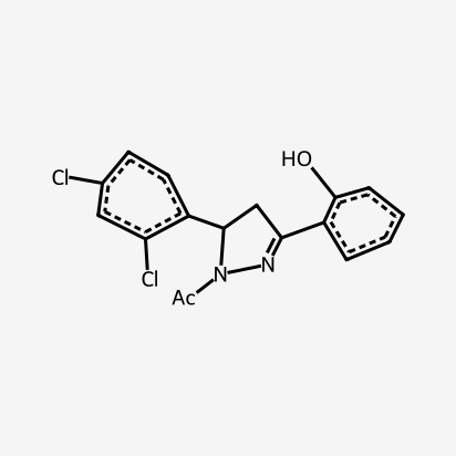 CC(=O)N1N=C(c2ccccc2O)CC1c1ccc(Cl)cc1Cl